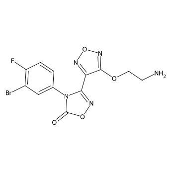 NCCOc1nonc1-c1noc(=O)n1-c1ccc(F)c(Br)c1